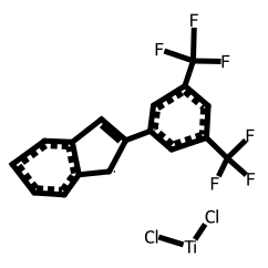 FC(F)(F)c1cc(C2=Cc3ccccc3[CH]2)cc(C(F)(F)F)c1.[Cl][Ti][Cl]